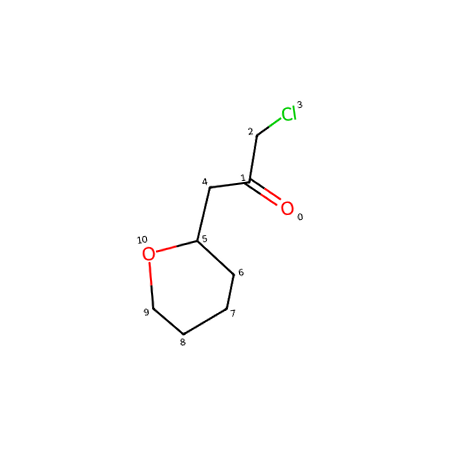 O=C(CCl)CC1CCCCO1